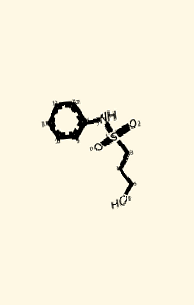 O=S(=O)(CCCO)Nc1c[c]ccc1